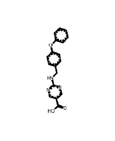 O=C(O)c1cnc(NCc2ccc(Oc3ccccc3)cc2)nc1